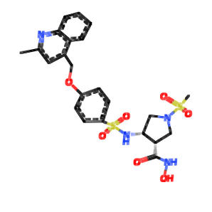 Cc1cc(COc2ccc(S(=O)(=O)N[C@@H]3CN(S(C)(=O)=O)C[C@@H]3C(=O)NO)cc2)c2ccccc2n1